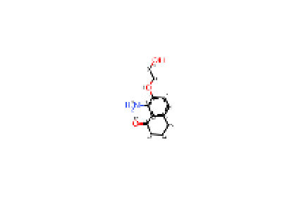 Nc1c(OCCO)ccc2c1C(=O)CCC2